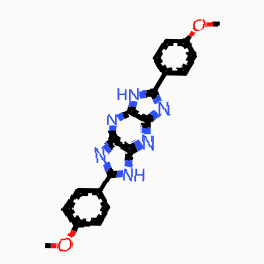 COc1ccc(-c2nc3nc4[nH]c(-c5ccc(OC)cc5)nc4nc3[nH]2)cc1